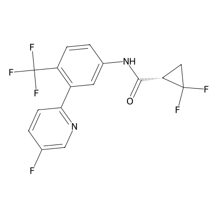 O=C(Nc1ccc(C(F)(F)F)c(-c2ccc(F)cn2)c1)[C@@H]1CC1(F)F